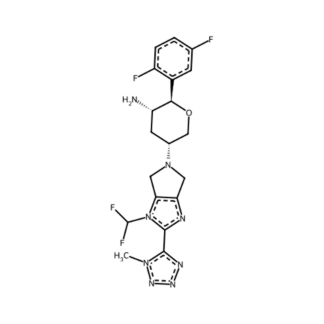 Cn1nnnc1-c1nc2c(n1C(F)F)CN([C@H]1CO[C@H](c3cc(F)ccc3F)[C@@H](N)C1)C2